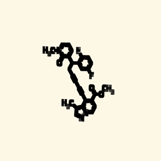 COC(=O)c1ccn2ncc(C)c2c1C#CC#CCC(c1cc(F)ccc1F)c1cccn(C)c1=O